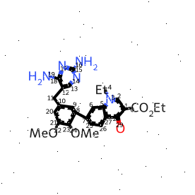 CCOC(=O)c1cn(CC)c2cc(-c3cc(Cc4cnc(N)nc4N)cc(OC)c3OC)ccc2c1=O